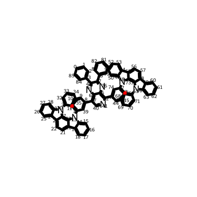 c1ccc(-c2nc3c(-c4cccc(-n5c6ccccc6c6ccc7c8ccccc8n(-c8ccccc8)c7c65)c4)cnc(-c4cccc(-n5c6ccccc6c6ccc7c8ccccc8n(-c8ccccc8)c7c65)c4)c3nc2-c2ccccc2)cc1